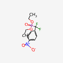 CCOP(=O)(OCC)C(F)(F)c1ccc([N+](=O)[O-])cc1